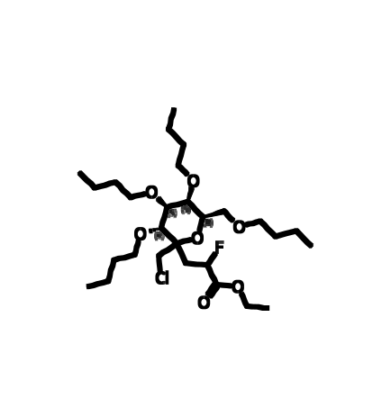 CCCCOC[C@H]1OC(CCl)(CC(F)C(=O)OCC)[C@H](OCCCC)[C@@H](OCCCC)[C@H]1OCCCC